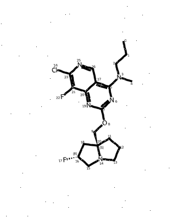 CCCN(C)c1nc(OC[C@@]23CCCN2C[C@H](F)C3)nc2c(F)c(Cl)ncc12